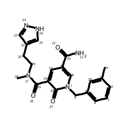 Cc1cccc(Cn2cc(C(N)=O)cc(C(=O)N(C)CCc3cn[nH]c3)c2=O)c1